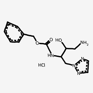 Cl.NCC(O)C(Cn1nccn1)NC(=O)OCc1ccccc1